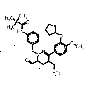 CCC1CC(C=O)N(Cc2cccc(NC(=O)C(C)(C)C)c2)N=C1c1ccc(OC)c(OC2CCCC2)c1